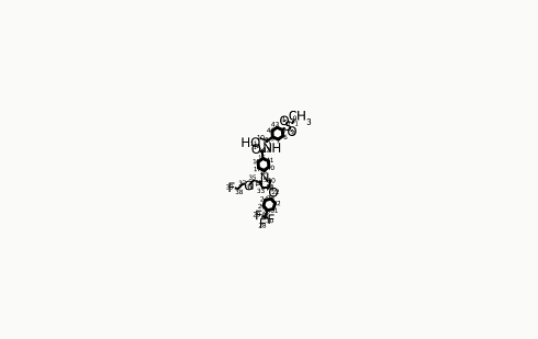 CCS(=O)(=O)c1ccc([C@H](CO)NC(=O)c2ccc(N3C[C@H](Oc4ccc(C(F)(F)F)cc4)C[C@H]3COCCF)cc2)cc1